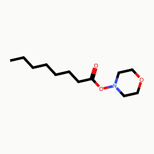 CCCCCCCC(=O)ON1CCOCC1